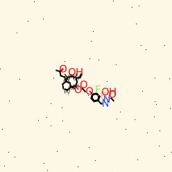 C=C[C@]1(C)C[C@@H](OC(=O)COc2ccc3c(c2F)B(O)N(C(C)=O)N=C3)[C@@]2(C)C[C@](CCC(C)=O)(CC[C@H]2C)[C@@H](C)[C@@H]1O